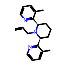 C=CCN1[C@@H](c2ncccc2C)CCC[C@H]1c1ncccc1C